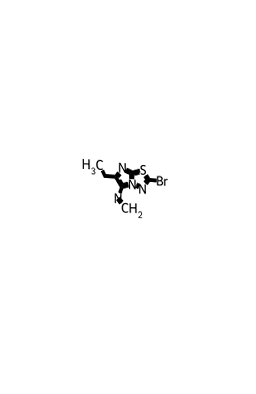 C=Nc1c(CC)nc2sc(Br)nn12